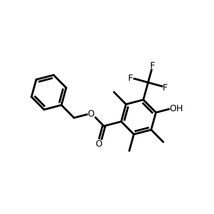 Cc1c(C)c(C(=O)OCc2ccccc2)c(C)c(C(F)(F)F)c1O